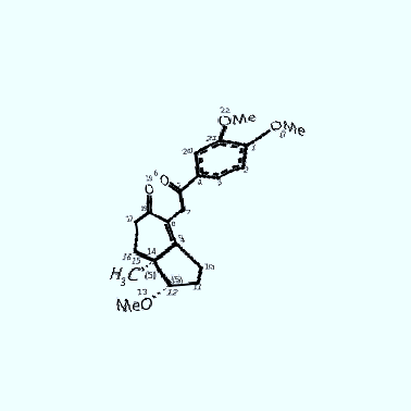 COc1ccc(C(=O)CC2=C3CC[C@H](OC)[C@@]3(C)CCC2=O)cc1OC